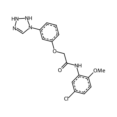 COc1ccc(Cl)cc1NC(=O)COc1cccc(N2C=NNN2)c1